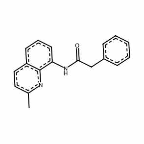 Cc1ccc2cccc(NC(=O)Cc3ccccc3)c2n1